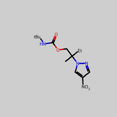 CCC(C)(COC(=O)NC(C)(C)C)n1cc([N+](=O)[O-])cn1